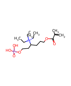 C=C(C)C(=O)OCCCC(CCOP(=O)(O)O)[N+](CC)(CC)CC